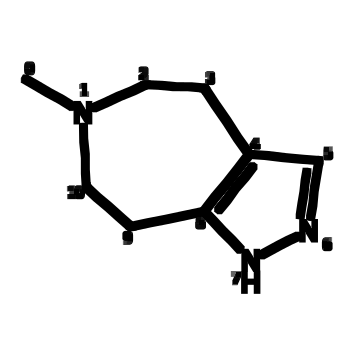 CN1CCc2cn[nH]c2CC1